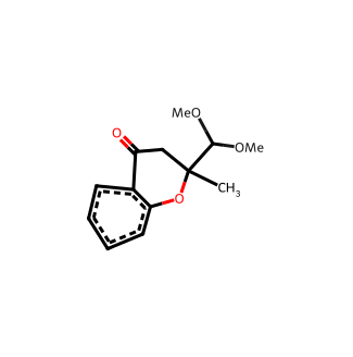 COC(OC)C1(C)CC(=O)c2ccccc2O1